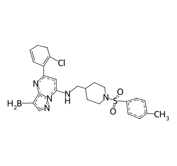 Bc1cnn2c(NCC3CCN(S(=O)(=O)c4ccc(C)cc4)CC3)cc(C3=C(Cl)CCC=C3)nc12